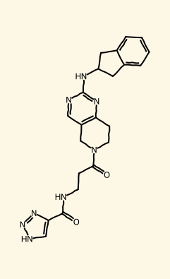 O=C(NCCC(=O)N1CCc2nc(NC3Cc4ccccc4C3)ncc2C1)c1c[nH]nn1